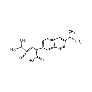 CC(C)C(C=O)=CC(C(=O)O)c1ccc2cc(C(C)C)cnc2c1